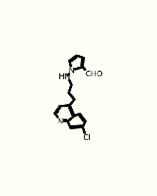 O=Cc1cccn1NCCCc1ccnc2cc(Cl)ccc12